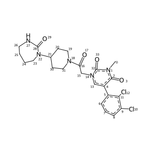 Cn1c(=O)c(-c2cccc(Cl)c2Cl)cn(CC(=O)N2CCC(N3CCCCNC3=O)CC2)c1=O